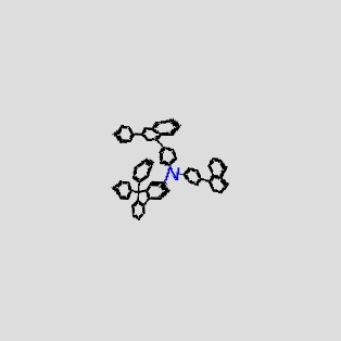 c1ccc(-c2cc(-c3ccc(N(c4ccc(-c5cccc6ccccc56)cc4)c4ccc5c(c4)C(c4ccccc4)(c4ccccc4)c4ccccc4-5)cc3)c3ccccc3c2)cc1